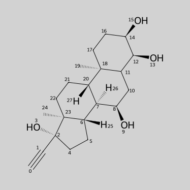 C#C[C@]1(O)CC[C@H]2[C@@H]3[C@H](O)CC4[C@H](O)[C@H](O)CC[C@]4(C)[C@H]3CC[C@@]21C